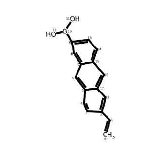 C=Cc1ccc2cc3cc(B(O)O)ccc3cc2c1